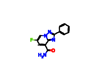 NC(=O)c1[c]c(F)cn2nc(-c3ccccc3)nc12